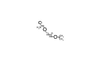 CN(C)c1ccc(NC(=O)NCCc2ccc(/N=C(\N)c3cccs3)cc2)cc1